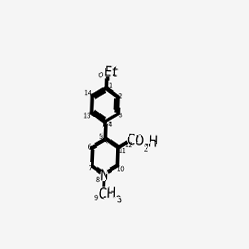 CCc1ccc(C2CCN(C)CC2C(=O)O)cc1